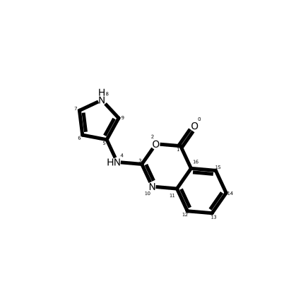 O=c1oc(Nc2cc[nH]c2)nc2ccccc12